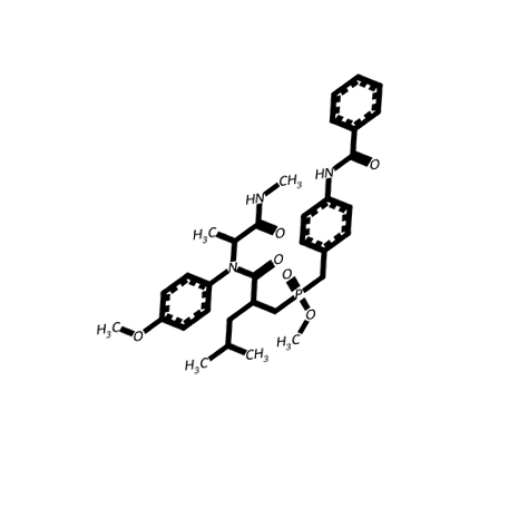 CNC(=O)C(C)N(C(=O)C(CC(C)C)CP(=O)(Cc1ccc(NC(=O)c2ccccc2)cc1)OC)c1ccc(OC)cc1